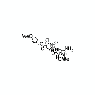 CON=C(C(=O)NC1C(=O)N2CC(CCl)(C(=O)OCc3ccc(OC)cc3)CS[C@H]12)N1C=C(N)SN1